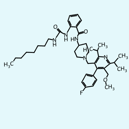 CCCCCCCCNC(=O)Nc1ccccc1C(=O)NC1CCN(Cc2c(C(C)C)nc(C(C)C)c(COC)c2-c2ccc(F)cc2)CC1